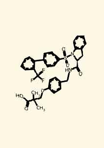 CC(C)(COc1ccc(CNC(=O)[C@@H]2Cc3ccccc3N2S(=O)(=O)c2ccc(-c3ccccc3C(F)(F)F)cc2)cc1)C(=O)O